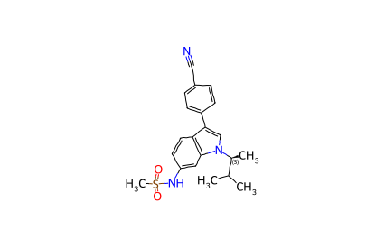 CC(C)[C@H](C)n1cc(-c2ccc(C#N)cc2)c2ccc(NS(C)(=O)=O)cc21